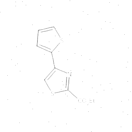 CCOC(=O)c1nc(-c2cccs2)cs1